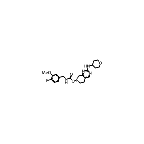 COc1cc(CNC(=O)ON2CCc3cnc(NC4CCOCC4)nc3C2)ccc1F